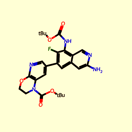 CC(C)(C)OC(=O)Nc1c(F)c(-c2cnc3c(c2)N(C(=O)OC(C)(C)C)CCO3)cc2cc(N)ncc12